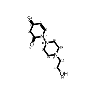 O=C1CC(=S)C=CN1N1CCN(CCO)CC1